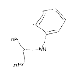 CCCC(CCC)Nc1[c]cccc1